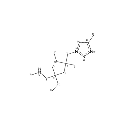 CCC(C)(CNC)CC(C)(CC)Cn1cc(C)nn1